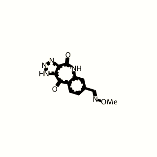 CON=Cc1ccc2c(=O)c3[nH]nnc3c(=O)[nH]c2c1